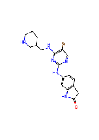 O=C1Cc2ccc(Nc3ncc(Br)c(NCC4CCCNC4)n3)cc2N1